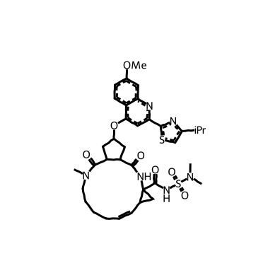 COc1ccc2c(OC3CC4C(=O)NC5(C(=O)NS(=O)(=O)N(C)C)CC5C=CCCCCN(C)C(=O)C4C3)cc(-c3nc(C(C)C)cs3)nc2c1